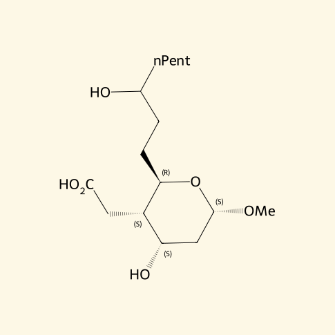 CCCCCC(O)CC[C@H]1O[C@H](OC)C[C@H](O)[C@@H]1CC(=O)O